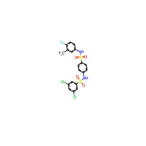 O=S(=O)(Nc1ccc(F)c(C(F)(F)F)c1)c1ccc(NS(=O)(=O)c2cc(Cl)cc(Cl)c2)cc1